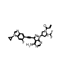 C=CC(=O)N1CC(n2nc(C#Cc3cc4ncn(C5CC5)c4cc3F)c3c(N)ncnc32)C[C@@H]1C(F)F